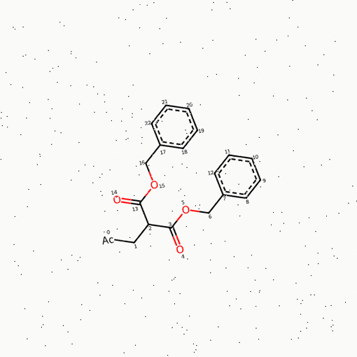 CC(=O)CC(C(=O)OCc1ccccc1)C(=O)OCc1ccccc1